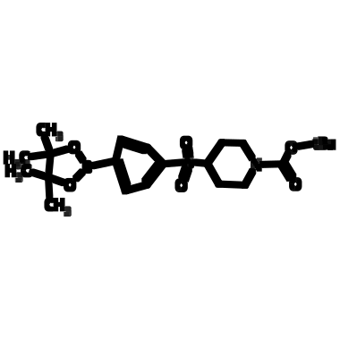 CC(C)(C)OC(=O)N1CCC(S(=O)(=O)c2ccc(B3OC(C)(C)C(C)(C)O3)cc2)CC1